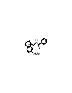 COc1ccc2c(c1)[C@](C)(CNC(=O)c1ccccc1)CCC2